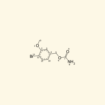 COc1cc(COC(N)=O)ccc1Br